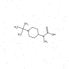 CN(C(=O)O)C1CCN(C(C)(C)C)CC1